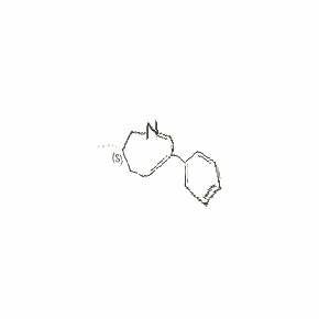 C[C@H]1CC=C(c2ccccc2)C=NC1